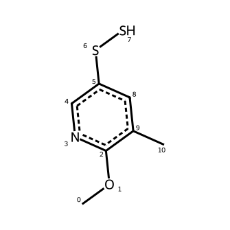 COc1ncc(SS)cc1C